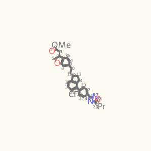 COC(=O)C[C@@H]1COc2cc(CC[C@@H]3CCc4c3ccc(C(F)(F)F)c4-c3ccc(-c4noc(C(C)C)n4)cc3)ccc21